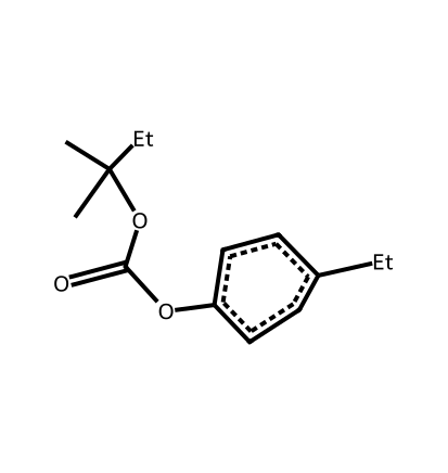 CCc1ccc(OC(=O)OC(C)(C)CC)cc1